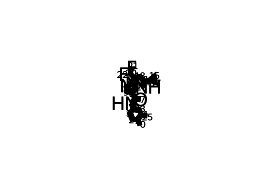 Cc1ccc(NC(=O)c2cnn3c2NC(=C2CC2)C=C3C(F)F)cc1C